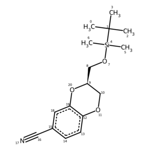 CC(C)(C)[Si](C)(C)OC[C@H]1COc2ccc(C#N)cc2O1